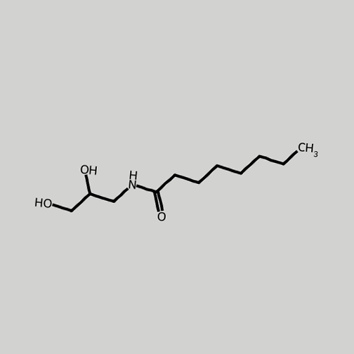 CCCCCCCC(=O)NCC(O)CO